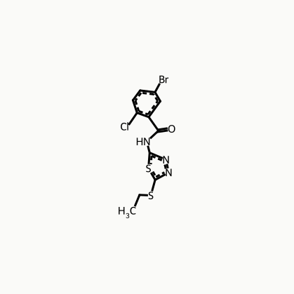 CCSc1nnc(NC(=O)c2cc(Br)ccc2Cl)s1